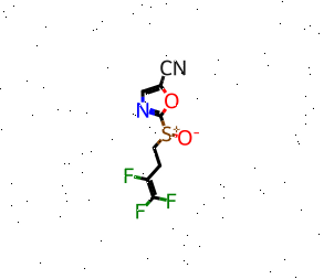 N#Cc1cnc([S+]([O-])CCC(F)=C(F)F)o1